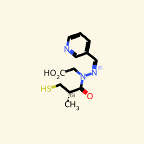 C[C@H](CS)C(=O)N(CC(=O)O)/N=C\c1cccnc1